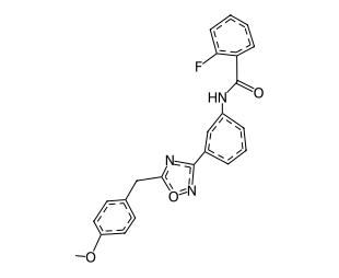 COc1ccc(Cc2nc(-c3cccc(NC(=O)c4ccccc4F)c3)no2)cc1